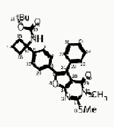 CSc1nc2oc(-c3ccc(C4(NC(=O)OC(C)(C)C)CCC4)cc3)c(-c3ccccc3)c2c(=O)n1C